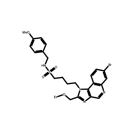 CCOCc1nc2cnc3cc(Br)ccc3c2n1CCCCS(=O)(=O)NCc1ccc(OC)cc1